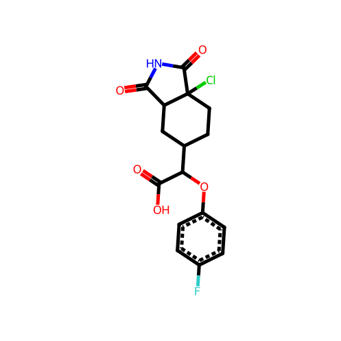 O=C(O)C(Oc1ccc(F)cc1)C1CCC2(Cl)C(=O)NC(=O)C2C1